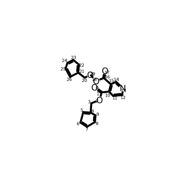 O=C(OCc1ccccc1)c1ccncc1C(=O)OOCc1ccccc1